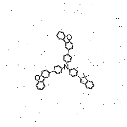 CC1(C)C(c2ccc(N(c3ccc(-c4ccc5oc6ccccc6c5c4)cc3)c3ccc(-c4ccc5oc6ccccc6c5c4)cc3)cc2)=Cc2ccccc21